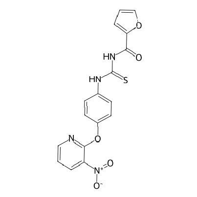 O=C(NC(=S)Nc1ccc(Oc2ncccc2[N+](=O)[O-])cc1)c1ccco1